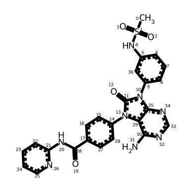 CS(=O)(=O)Nc1cccc(-n2c(=O)n(-c3ccc(C(=O)Nc4ccccn4)cc3)c3c(N)ncnc32)c1